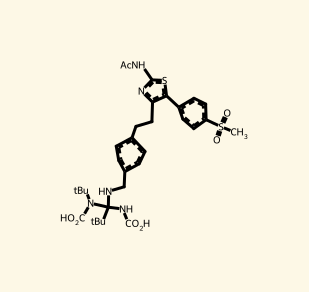 CC(=O)Nc1nc(CCc2ccc(CNC(NC(=O)O)(N(C(=O)O)C(C)(C)C)C(C)(C)C)cc2)c(-c2ccc(S(C)(=O)=O)cc2)s1